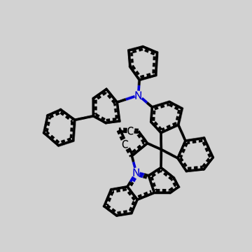 c1ccc(-c2ccc(N(c3ccccc3)c3ccc4c(c3)C3(c5ccccc5-4)c4ccccc4-n4c5ccccc5c5cccc3c54)cc2)cc1